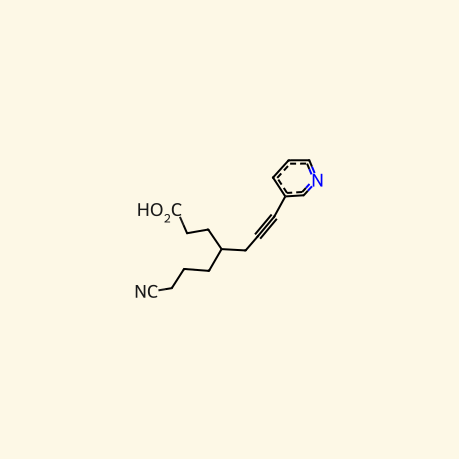 N#CCCCC(CC#Cc1cccnc1)CCC(=O)O